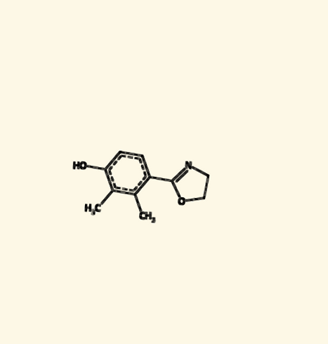 Cc1c(O)ccc(C2=NCCO2)c1C